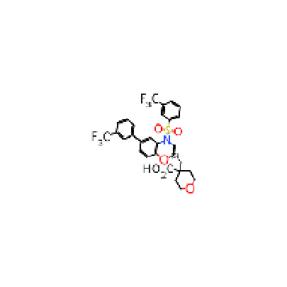 O=C(O)C1(C[C@H]2CN(S(=O)(=O)c3cccc(C(F)(F)F)c3)c3cc(-c4cccc(C(F)(F)F)c4)ccc3O2)CCOCC1